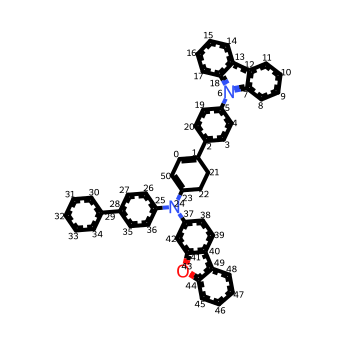 C1=C(c2ccc(-n3c4ccccc4c4ccccc43)cc2)CCC(N(c2ccc(-c3ccccc3)cc2)c2ccc3c(c2)oc2ccccc23)=C1